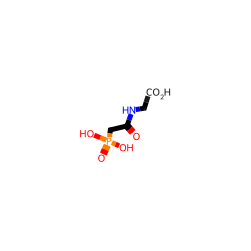 O=C(O)CNC(=O)CP(=O)(O)O